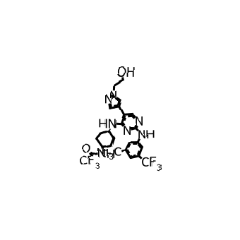 O=C(N[C@H]1CC[C@H](Nc2nc(Nc3cc(C(F)(F)F)cc(C(F)(F)F)c3)ncc2-c2cnn(CCO)c2)CC1)C(F)(F)F